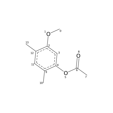 COc1cc(OC(C)=O)c(C)cc1C